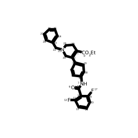 CCOC(=O)C1=C(c2ccc(NC(=O)c3c(F)cccc3F)cc2)CN(Cc2ccccc2)CC1